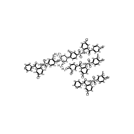 C[C@@H]1CN(c2ccc(S(=O)(=O)Nc3ccc(Cl)cc3C(=O)c3cc[n+]([O-])cc3)cc2F)C[C@H](C)O1.Cc1ccc(C(=O)c2cc(Cl)ccc2NS(=O)(=O)c2ccc(Br)c(F)c2)c[n+]1[O-].O=C(c1cccnc1)c1cc(Cl)ccc1NS(=O)(=O)c1ccc(Br)c(F)c1.O=C(c1ccncc1)c1cc(Cl)ccc1NS(=O)(=O)c1ccc(Br)c(F)c1